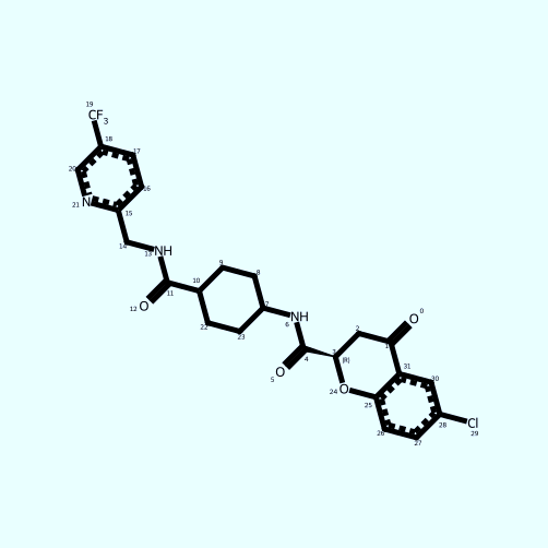 O=C1C[C@H](C(=O)NC2CCC(C(=O)NCc3ccc(C(F)(F)F)cn3)CC2)Oc2ccc(Cl)cc21